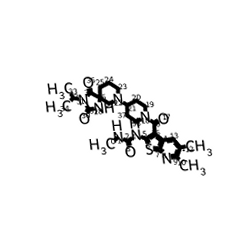 CNC(=O)Nc1sc2nc(C)c(C)cc2c1C(=O)N1CCC(N2CCCC3(C2)NC(=O)N(C(C)C)C3=O)CC1